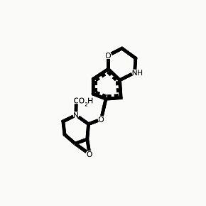 O=C(O)N1CCC2OC2C1Oc1ccc2c(c1)NCCO2